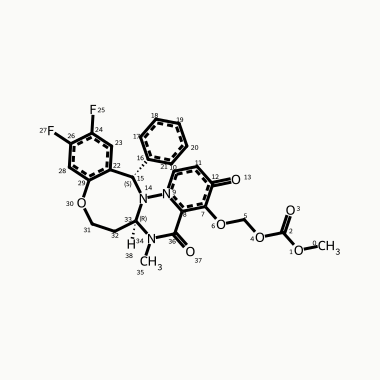 COC(=O)OCOc1c2n(ccc1=O)N1[C@@H](c3ccccc3)c3cc(F)c(F)cc3OCC[C@@H]1N(C)C2=O